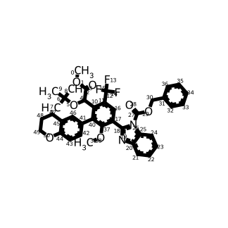 COC(=O)C(OC(C)(C)C)c1c(C(F)(F)F)cc(-c2nc3ccccc3n2C(=O)OCc2ccccc2)c(OC)c1-c1ccc2c(c1)CCCO2